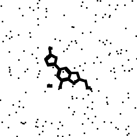 CC(=O)c1ccc(-c2cc(Cl)c3c(c2)CC(CN)O3)s1.Cl